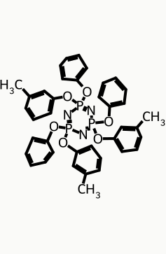 Cc1cccc(OP2(Oc3ccccc3)=NP(Oc3ccccc3)(Oc3cccc(C)c3)=NP(Oc3ccccc3)(Oc3cccc(C)c3)=N2)c1